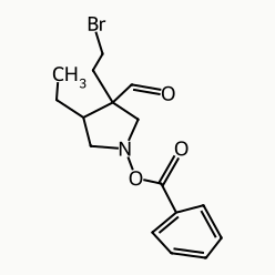 CCC1CN(OC(=O)c2ccccc2)CC1(C=O)CCBr